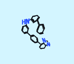 c1ccc(-c2cccc(Nc3cccc(-c4ccc(-c5cccc6c5=NCN=6)cc4)c3)c2)cc1